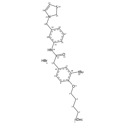 Br.CCCCCCCCCCCCCCOc1ccc(CC(=O)Nc2cccc(CN3C=CSC3)c2)cc1C(C)(C)C